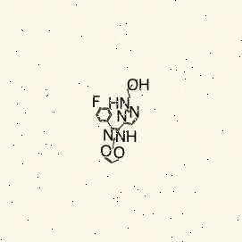 OCCNc1nccc(-c2[nH]c(C3OC=CCO3)nc2-c2ccc(F)cc2)n1